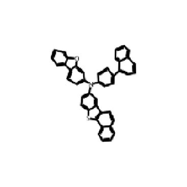 c1ccc2c(-c3ccc(N(c4ccc5c(c4)oc4ccccc45)c4ccc5sc6c7ccccc7ccc6c5c4)cc3)cccc2c1